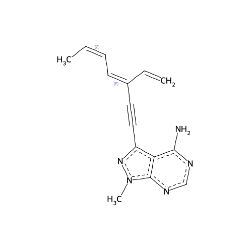 C=C/C(C#Cc1nn(C)c2ncnc(N)c12)=C\C=C/C